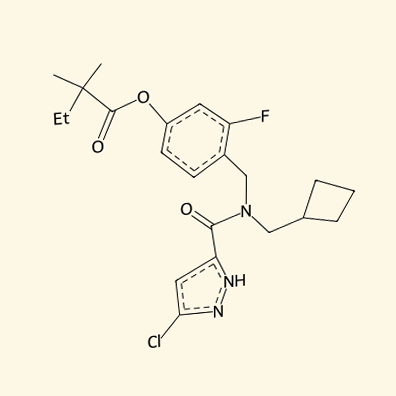 CCC(C)(C)C(=O)Oc1ccc(CN(CC2CCC2)C(=O)c2cc(Cl)n[nH]2)c(F)c1